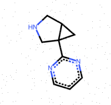 c1cnc(C23CNCC2C3)nc1